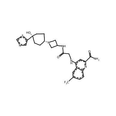 NC(=O)c1cc(NCC(=O)NC2CN([C@H]3CC[C@](O)(c4cncs4)CC3)C2)c2cc(C(F)(F)F)ccc2n1